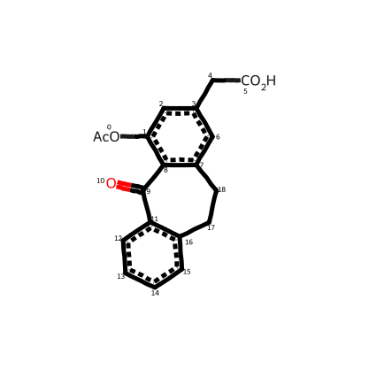 CC(=O)Oc1cc(CC(=O)O)cc2c1C(=O)c1ccccc1CC2